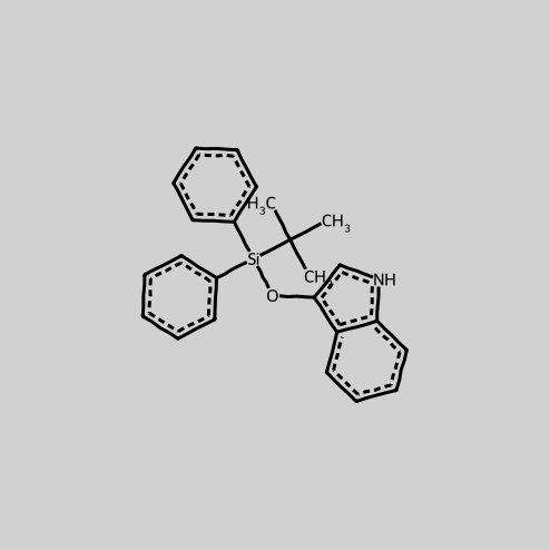 CC(C)(C)[Si](Oc1c[nH]c2ccccc12)(c1ccccc1)c1ccccc1